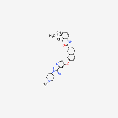 CN1CCC(NC(=N)c2cc(Oc3ccc4c(c3)CC(C(=O)Nc3cccc(C(C)(C)C)c3)CC4)ccn2)CC1